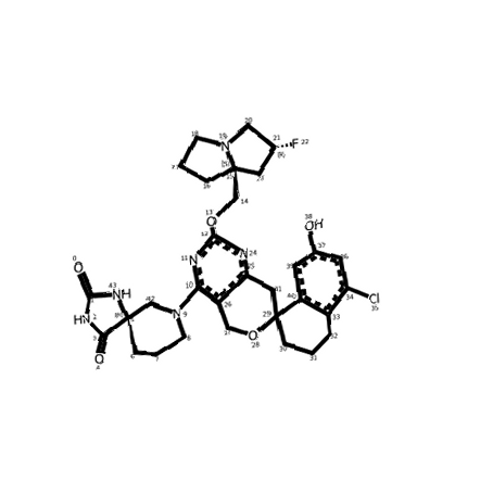 O=C1NC(=O)[C@]2(CCCN(c3nc(OC[C@@]45CCCN4C[C@H](F)C5)nc4c3COC3(CCCc5c(Cl)cc(O)cc53)C4)C2)N1